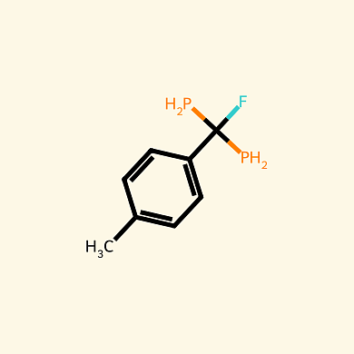 Cc1ccc(C(F)(P)P)cc1